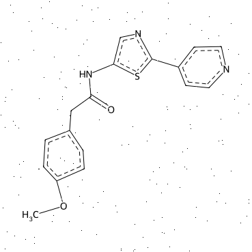 COc1ccc(CC(=O)Nc2cnc(-c3ccncc3)s2)cc1